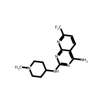 CN1CCC(Nc2nc(N)c3ccc(C(F)(F)F)nc3n2)CC1